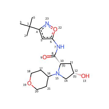 CC(C)(C)c1cc(NC(=O)[C@@H]2C[C@H](O)CN2C2CCOCC2)on1